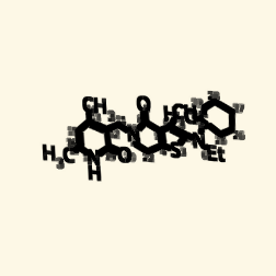 CCN(c1sc2c(c1C)C(=O)N(Cc1c(C)cc(C)[nH]c1=O)CC2)S1(C)CCCCC1